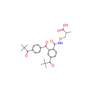 CC(CONC(=O)c1ccc(C(=O)C(C)(C)C)cc1C(=O)c1ccc(C(=O)C(C)(C)C)cc1)C(=O)O